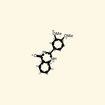 COc1ccc(-c2nc(=O)c3ccccc3[nH]2)cc1OC